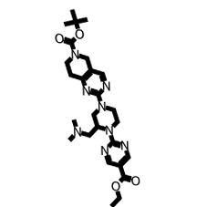 CCOC(=O)c1cnc(N2CCN(c3ncc4c(n3)CCN(C(=O)OC(C)(C)C)C4)CC2CN(C)C)nc1